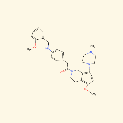 COc1ccccc1CNc1ccc(CC(=O)N2CCc3c(OC)ccc(N4CCN(C)CC4)c3C2)cc1